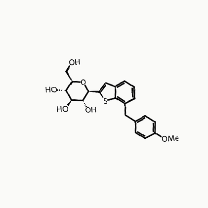 COc1ccc(Cc2cccc3cc([C@@H]4O[C@H](CO)[C@@H](O)[C@H](O)[C@H]4O)sc23)cc1